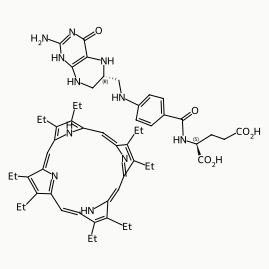 CCC1=C(CC)c2cc3[nH]c(cc4nc(cc5[nH]c(cc1n2)c(CC)c5CC)C(CC)=C4CC)c(CC)c3CC.Nc1nc(=O)c2c([nH]1)NC[C@@H](CNc1ccc(C(=O)N[C@@H](CCC(=O)O)C(=O)O)cc1)N2